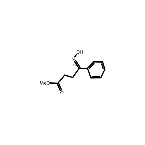 COC(=O)CC/C(=N/O)c1ccccc1